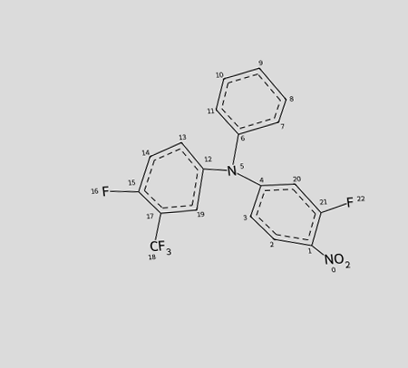 O=[N+]([O-])c1ccc(N(c2ccccc2)c2ccc(F)c(C(F)(F)F)c2)cc1F